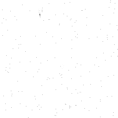 CC[C@H]1CC[C@H](c2ccc(OCc3ccc(F)c(F)c3)cc2)CC1